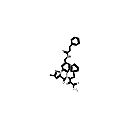 Cc1cc(C(=O)NC(Cc2ccccc2)C(=O)C(N)=O)n(-c2cccc(CNC(=O)CCc3ccccc3)c2)n1